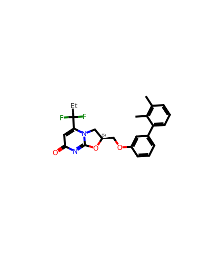 CCC(F)(F)c1cc(=O)nc2n1C[C@@H](COc1cccc(-c3cccc(C)c3C)c1)O2